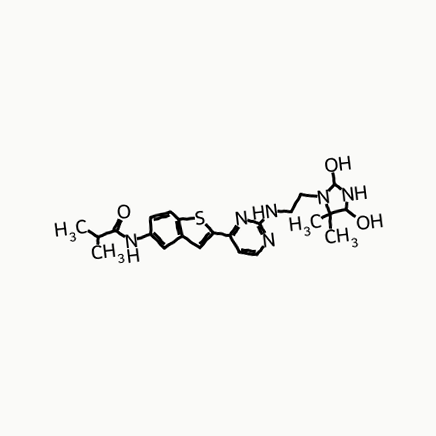 CC(C)C(=O)Nc1ccc2sc(-c3ccnc(NCCN4C(O)NC(O)C4(C)C)n3)cc2c1